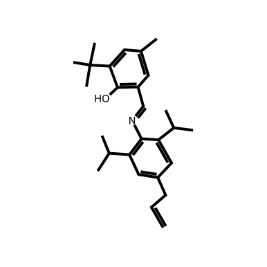 C=CCc1cc(C(C)C)c(N=Cc2cc(C)cc(C(C)(C)C)c2O)c(C(C)C)c1